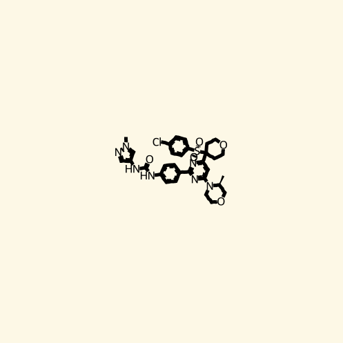 C[C@H]1COCCN1c1cc(C2(S(=O)(=O)c3ccc(Cl)cc3)CCOCC2)nc(-c2ccc(NC(=O)Nc3cnn(C)c3)cc2)n1